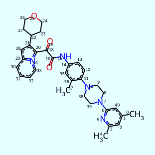 Cc1cc(C)nc(N2CCN(c3ccc(NC(=O)C(=O)c4c(C5CCOCC5)cc5ccccn45)cc3C)CC2)c1